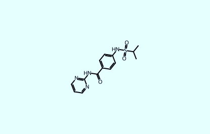 CC(C)S(=O)(=O)Nc1ccc(C(=O)Nc2ncccn2)cc1